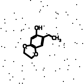 CCc1cc2c(cc1O)OCCO2